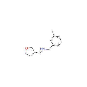 Cc1cccc(CNCC2CCOC2)c1